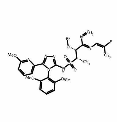 C=N/C(=N\C=C(/C)F)[C@@H](OCC)[C@H](C)S(=O)(=O)Nc1nnc(-c2cccc(OC)n2)n1-c1c(OC)cccc1OC